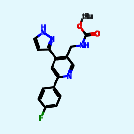 CC(C)(C)OC(=O)NCc1cnc(-c2ccc(F)cc2)cc1-c1cc[nH]n1